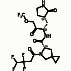 O=C1NCC[C@H]1C[C@H](NC(=O)[C@@H]1CC2(CC2)CN1C(=O)CC(F)(F)C(F)F)C(=O)COC(F)(F)F